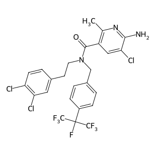 Cc1nc(N)c(Cl)cc1C(=O)N(CCc1ccc(Cl)c(Cl)c1)Cc1ccc(C(F)(C(F)(F)F)C(F)(F)F)cc1